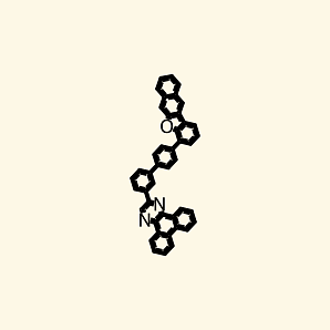 c1cc(-c2ccc(-c3cccc4c3oc3cc5ccccc5cc34)cc2)cc(-c2cnc3c4ccccc4c4ccccc4c3n2)c1